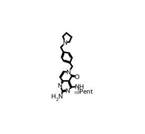 CCC[C@H](C)Nc1nc(N)nc2ccn(Cc3ccc(CN4CCCC4)cc3)c(=O)c12